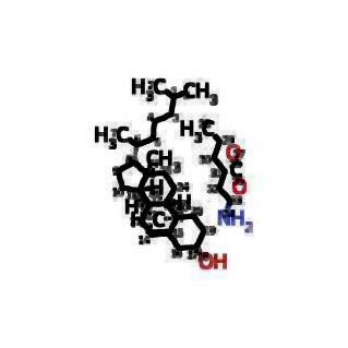 CC(C)CCCC(C)[C@H]1CC[C@H]2[C@@H]3CC=C4C[C@@H](O)CC[C@]4(C)[C@H]3CC[C@]12C.CCCCCCN.O=C=O